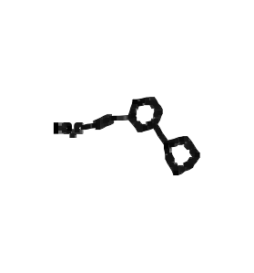 O=C(O)C#Cc1cccc(-c2ccccc2)c1